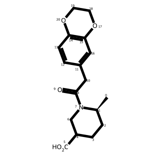 C[C@H]1CCC(C(=O)O)CN1C(=O)Cc1ccc2c(c1)OCCO2